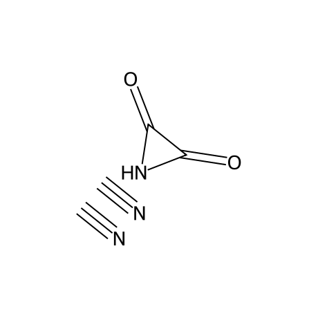 C#N.C#N.O=c1[nH]c1=O